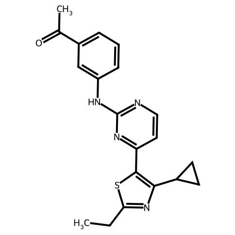 CCc1nc(C2CC2)c(-c2ccnc(Nc3cccc(C(C)=O)c3)n2)s1